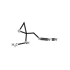 CNC1(CN=[N+]=[N-])CO1